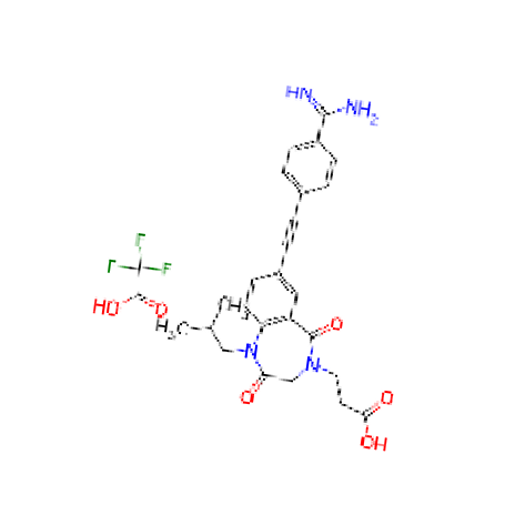 CC(C)CN1C(=O)CN(CCC(=O)O)C(=O)c2cc(C#Cc3ccc(C(=N)N)cc3)ccc21.O=C(O)C(F)(F)F